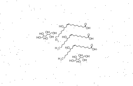 CCCCCC[C@@H](O)C/C=C\CCCCCCCC(=O)O.CCCCCC[C@@H](O)C/C=C\CCCCCCCC(=O)O.CCCCCC[C@@H](O)C/C=C\CCCCCCCC(=O)O.OC[C@@H](O)[C@@H](O)[C@H](O)[C@@H](O)CO.OC[C@@H](O)[C@@H](O)[C@H](O)[C@@H](O)CO